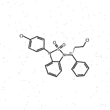 O=S1(=O)N(c2ccc(Cl)cc2)c2ccccc2N1[C@H](CCCl)c1ccccc1